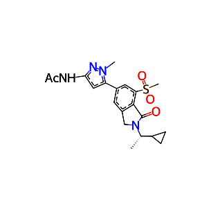 CC(=O)Nc1cc(-c2cc3c(c(S(C)(=O)=O)c2)C(=O)N([C@@H](C)C2CC2)C3)n(C)n1